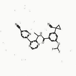 CC(NC(=O)c1cc(OC(F)F)cc(C2(C#N)CC2)c1)c1nccnc1-c1ccc(C#N)cn1